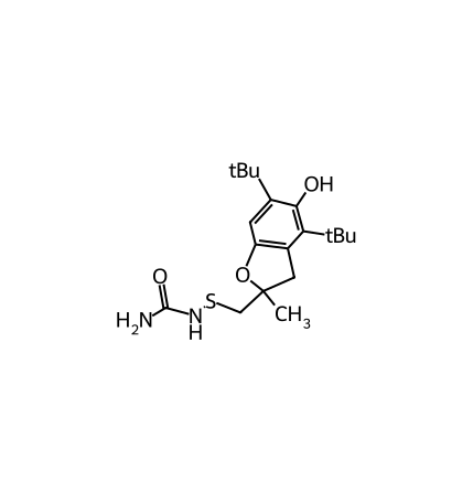 CC1(CSNC(N)=O)Cc2c(cc(C(C)(C)C)c(O)c2C(C)(C)C)O1